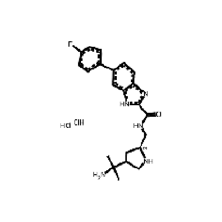 CC(C)(N)C1CN[C@H](CNC(=O)c2nc3ccc(-c4ccc(F)cc4)cc3[nH]2)C1.Cl.Cl